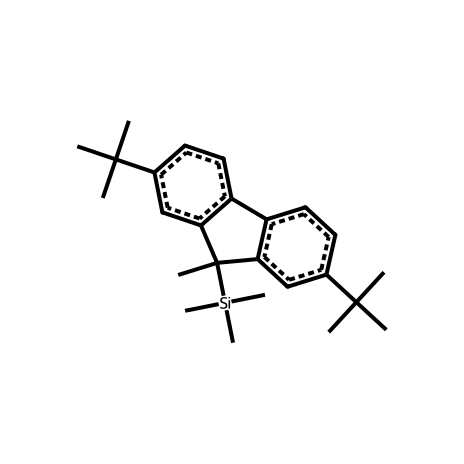 CC(C)(C)c1ccc2c(c1)C(C)([Si](C)(C)C)c1cc(C(C)(C)C)ccc1-2